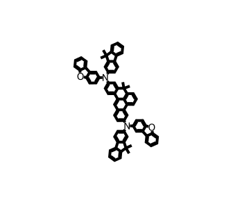 CC1(C)c2ccccc2-c2ccc(N(c3ccc4c(c3)C(C)(C)c3cccc5c3c-4cc3ccc(N(c4ccc6c(c4)C(C)(C)c4ccccc4-6)c4ccc6oc7ccccc7c6c4)cc35)c3ccc4oc5ccccc5c4c3)cc21